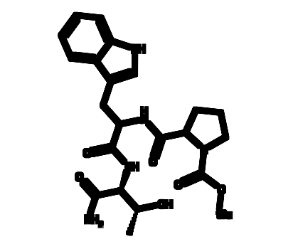 C[C@@H](O)[C@H](NC(=O)C(Cc1c[nH]c2ccccc12)NC(=O)C1CCCN1C(=O)OC(C)(C)C)C(N)=O